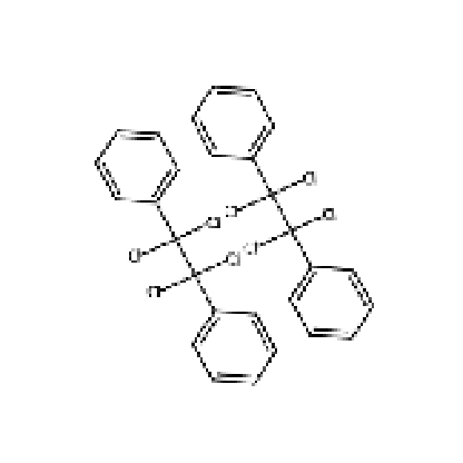 ClC(Cl)(c1ccccc1)C(Cl)(Cl)c1ccccc1.ClC(Cl)(c1ccccc1)C(Cl)(Cl)c1ccccc1